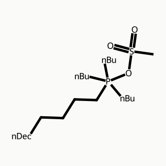 CCCCCCCCCCCCCCP(CCCC)(CCCC)(CCCC)OS(C)(=O)=O